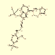 COc1cc(S(C)(=O)=O)ccc1NCC#Cc1nc2c([C@@H]3CCn4nccc4N3)cccn2c1CC(F)(F)F